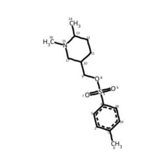 Cc1ccc(S(=O)(=O)OCC2CCC(C)N(C)C2)cc1